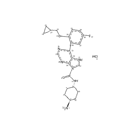 Cl.N[C@H]1CC[C@H](NC(=O)c2c[nH]c3c(-c4cc(F)ccc4OCC4CC4)ncnc23)CC1